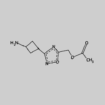 CC(=O)OCc1nc(C2CC(N)C2)no1